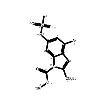 CCOC(=O)c1cc2c(Br)cc(NS(C)(=O)=O)cc2n1C(=O)OC(C)(C)C